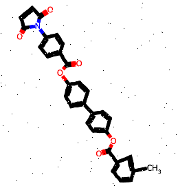 Cc1cccc(C(=O)Oc2ccc(-c3ccc(OC(=O)c4ccc(N5C(=O)C=CC5=O)cc4)cc3)cc2)c1